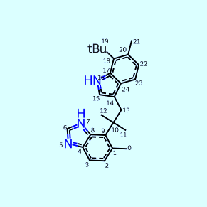 Cc1ccc2nc[nH]c2c1C(C)(C)Cc1c[nH]c2c(C(C)(C)C)c(C)ccc12